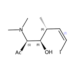 CC(=O)[C@H]([C@H](O)[C@H](C)/C=C\I)N(C)C